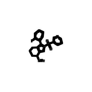 CNC1CCCc2c1cn(S(=O)(=O)c1cccnc1)c2-c1ccccc1F